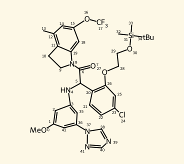 COc1cc(NC(C(=O)N2CCc3c(C)cc(OC(F)(F)F)cc32)c2ccc(Cl)cc2OCCO[Si](C)(C)C(C)(C)C)cc(-n2cncn2)c1